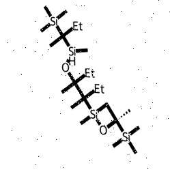 CCC(C)(O[SiH](C)C(C)(CC)[Si](C)(C)C)C(C)(CC)[Si]1(C)C[C@@](C)([Si](C)(C)C)O1